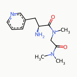 CN(C)C(=O)CN(C)C(=O)[C@@H](N)Cc1cccnc1